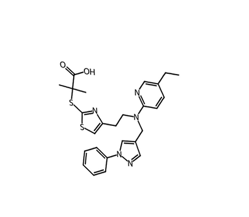 CCc1ccc(N(CCc2csc(SC(C)(C)C(=O)O)n2)Cc2cnn(-c3ccccc3)c2)nc1